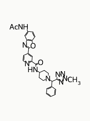 CC(=O)Nc1ccc2oc(-c3ccnc(C(=O)NC4CCN(C(c5ccccc5)c5nnn(C)n5)CC4)c3)nc2c1